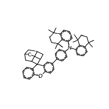 CC1(C)CCC(C)(C)c2c(N(c3ccc(-c4ccc5c(c4)C4(c6ccccc6O5)C5CC6CC7CC4C75C6)cc3)c3cccc4c3C(C)(C)CCC4(C)C)cccc21